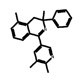 Cc1cc(C2=NC(C)(c3ccccc3)Cc3c(C)cccc32)cnc1C